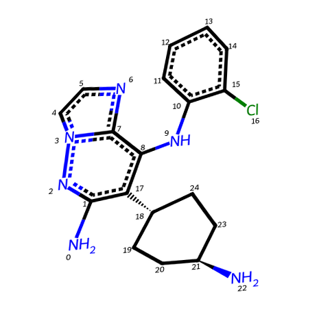 Nc1nn2ccnc2c(Nc2ccccc2Cl)c1[C@H]1CC[C@H](N)CC1